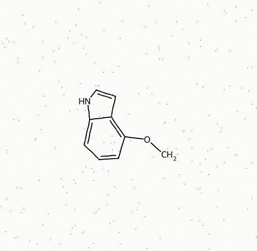 [CH2]Oc1cccc2[nH]ccc12